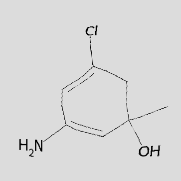 CC1(O)C=C(N)C=C(Cl)C1